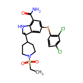 CCS(=O)(=O)N1CCC(c2c[nH]c3c(C(N)=O)cc(Sc4ccc(Cl)cc4Cl)cc23)CC1